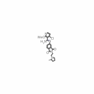 COc1nccc(Cl)c1/C(N)=N/c1ccc2c(c1)C(=O)N(CCN1CCC[C@H]1C)C2=O